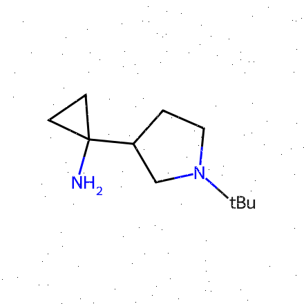 CC(C)(C)N1CCC(C2(N)CC2)C1